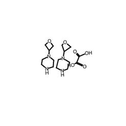 C1CN(C2COC2)CCN1.C1CN(C2COC2)CCN1.O=C(O)C(=O)O